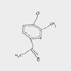 CC(=O)c1ccc([O])c(C)c1